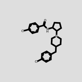 O=C(NC1CCCC1N1CCC(Cc2ccc(Cl)cc2)CC1)c1ccc(Cl)cc1